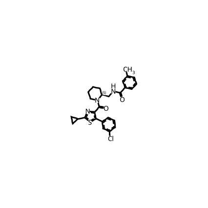 Cc1cccc(C(=O)NC[C@@H]2CCCCN2C(=O)c2nc(C3CC3)sc2-c2cccc(Cl)c2)c1